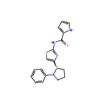 O=C(Nc1nc([C@H]2CCCN2c2ccccc2)cs1)c1ccc[nH]1